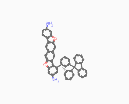 [2H]c1c(-c2cc(N)cc3oc4cc5cc6c(cc5cc4c23)oc2cc(N)ccc26)cccc1C1(c2ccccc2)c2ccccc2-c2ccccc21